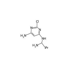 CC(C)C(N)Nc1cc(N)nc(Cl)n1